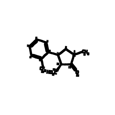 CN1CC(c2ccccc2C(F)(F)F)[C@H](C(=O)O)C1=O